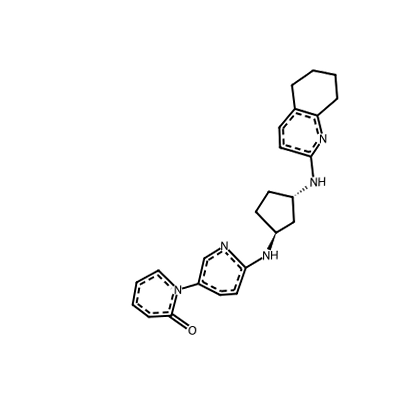 O=c1ccccn1-c1ccc(N[C@H]2CC[C@H](Nc3ccc4c(n3)CCCC4)C2)nc1